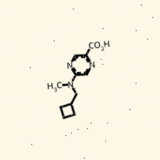 CN(CC1CCC1)c1cnc(C(=O)O)cn1